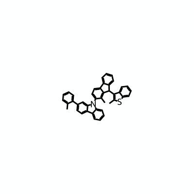 Cc1ccccc1-c1ccc2c3ccccc3n(-c3ccc4c(c3C)C(c3c(C)sc5ccccc35)c3ccccc3-4)c2c1